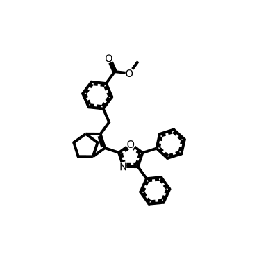 COC(=O)c1cccc(CC2=C(c3nc(-c4ccccc4)c(-c4ccccc4)o3)C3CCC2C3)c1